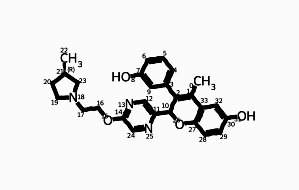 CC1=C(c2cccc(O)c2)C(c2cnc(OCCN3CC[C@@H](C)C3)cn2)Oc2ccc(O)cc21